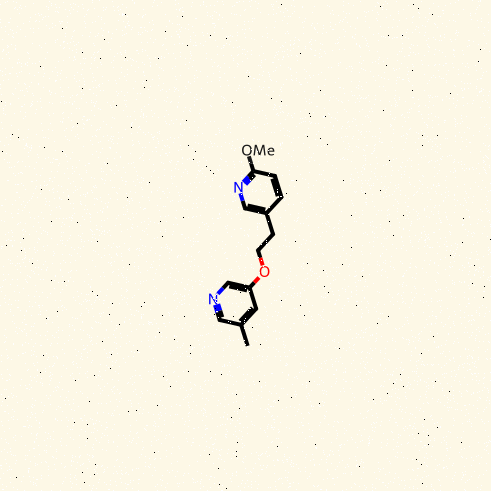 COc1ccc(CCOc2cncc(C)c2)cn1